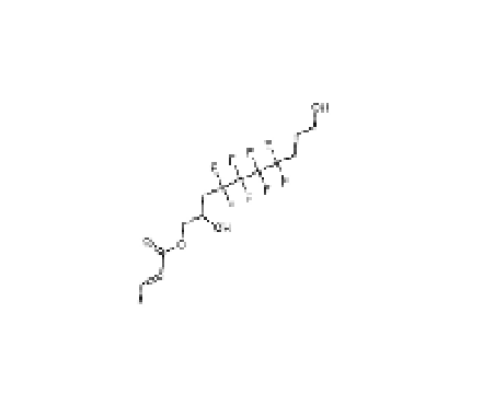 CC=CC(=O)OCC(O)CC(F)(F)C(F)(F)C(F)(F)C(F)(F)CCCO